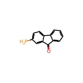 O=C1c2ccccc2-c2ccc(P)cc21